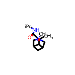 CC(C)NC(=O)C(C)C1C2CC1CN(C)C2